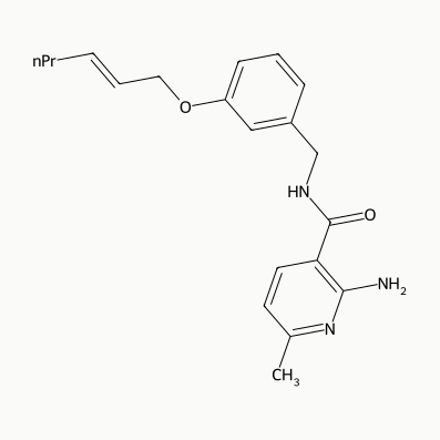 CCC/C=C/COc1cccc(CNC(=O)c2ccc(C)nc2N)c1